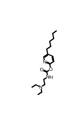 CCCCCCc1ccc(OC(=O)NCCN(CC)CC)nc1